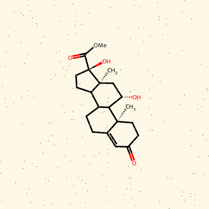 COC(=O)[C@@]1(O)CCC2C3CCC4=CC(=O)CC[C@]4(C)C3[C@@H](O)C[C@@]21C